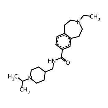 CCN1CCc2ccc(C(=O)NCC3CCN(C(C)C)CC3)cc2CC1